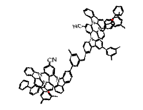 Cc1cc(C)cc(-c2ccc3c(c2)c2ccccc2n3-c2cc(C#N)cc(-n3c4ccc(Cc5cc(C)cc(-c6ccc7c8ccccc8n(-c8cc(C#N)cc(-n9c%10ccccc%10c%10ccc(-c%11cc(C)cc(C)c%11)cc%109)c8-c8cccc(-c9cccc(-c%10ccccc%10)c9)n8)c7c6)c5)cc4c4cc(-c5cc(C)cc(C)c5)ccc43)c2-c2cccc(-c3ccc(-c4ccccc4)cc3)n2)c1